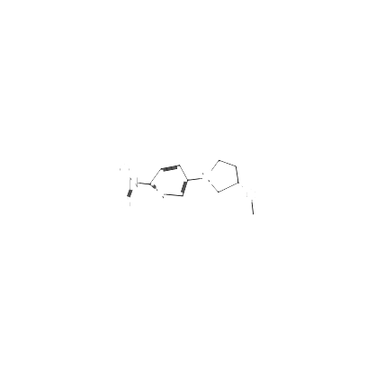 CO[C@H]1CCN(c2ccc([N+](=O)[O-])nc2)C1